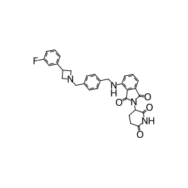 O=C1CCC(N2C(=O)c3cccc(NCc4ccc(CN5CC(c6cccc(F)c6)C5)cc4)c3C2=O)C(=O)N1